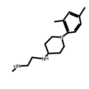 CNCCNC1CCN(c2ccc(C)cc2C)CC1